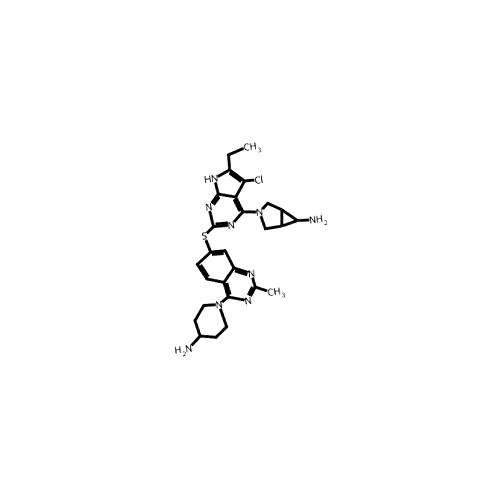 CCc1[nH]c2nc(Sc3ccc4c(N5CCC(N)CC5)nc(C)nc4c3)nc(N3CC4C(N)C4C3)c2c1Cl